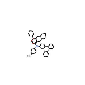 CC(C)(C)c1ccc(N(c2ccc3c4ccccc4c4ccccc4c3c2)c2ccc(-c3ccccc3)c3c2C2c4ccccc4C3c3ccccc32)cc1